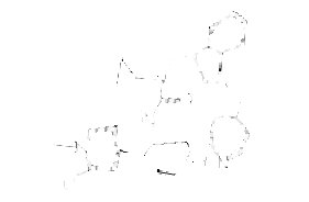 Cn1ccc([C@@H]2CCNC[C@H]2NC(=O)N(Cc2cn(Cc3ccncc3)c3ccccc23)C2CC2)cc1=O